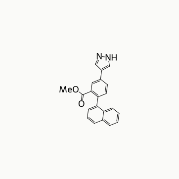 COC(=O)c1cc(-c2cn[nH]c2)ccc1-c1cccc2ccccc12